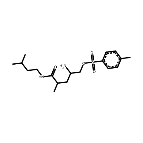 Cc1ccc(S(=O)(=O)OCC(N)CC(C)C(=O)NCCC(C)C)cc1